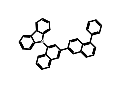 c1ccc(-c2cccc3cc(-c4cc(-n5c6ccccc6c6ccccc65)c5ccccc5c4)ccc23)cc1